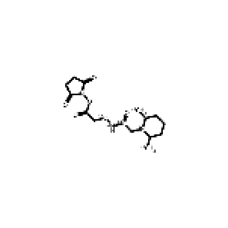 [13CH3]C1CCCC([13CH3])[15N]1C[13C](=O)[15NH][13CH2]CC(=O)ON1C(=O)CCC1=O